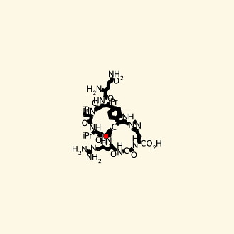 CC(C)CC1NC(=O)C(NC(=O)C(N)CCC(N)=O)C(C(C)C)c2ccc3c4c([nH]c3c2)-n2cnc(c2)CC(C(=O)O)NC(=O)CNC(=O)C(CCCN=C(N)N)NC(=O)C(C4)NC(=O)C(C(C)C)NC1=O